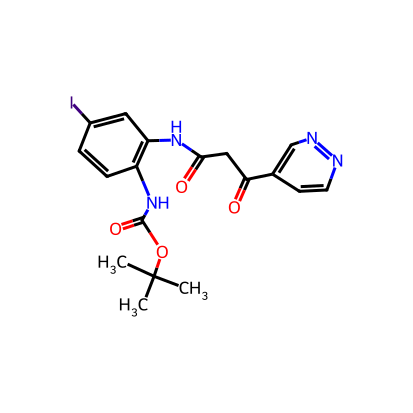 CC(C)(C)OC(=O)Nc1ccc(I)cc1NC(=O)CC(=O)c1ccnnc1